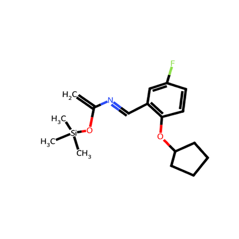 C=C(N=Cc1cc(F)ccc1OC1CCCC1)O[Si](C)(C)C